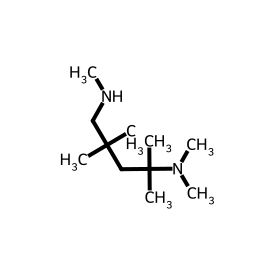 CNCC(C)(C)CC(C)(C)N(C)C